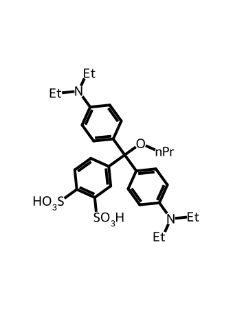 CCCOC(c1ccc(N(CC)CC)cc1)(c1ccc(N(CC)CC)cc1)c1ccc(S(=O)(=O)O)c(S(=O)(=O)O)c1